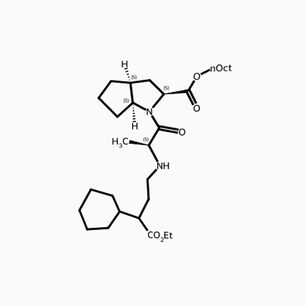 CCCCCCCCOC(=O)[C@@H]1C[C@@H]2CCC[C@@H]2N1C(=O)[C@H](C)NCCC(C(=O)OCC)C1CCCCC1